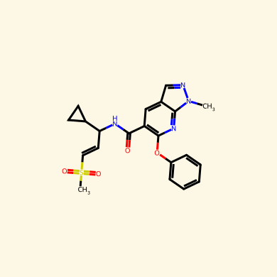 Cn1ncc2cc(C(=O)NC(C=CS(C)(=O)=O)C3CC3)c(Oc3ccccc3)nc21